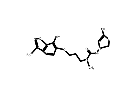 CCCc1c(OCCCN(C)C(=O)NN2C=C(C)OC2)ccc2c(C(F)(F)F)noc12